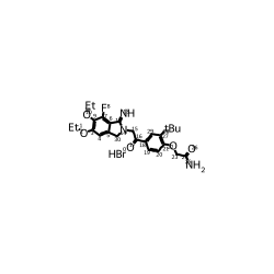 Br.CCOc1cc2c(c(F)c1OCC)C(=N)N(CC(=O)c1ccc(OCC(N)=O)c(C(C)(C)C)c1)C2